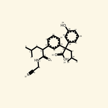 CC(C)CC(C(=O)NCC#N)c1cccc(C(CC(C)C)(C(=O)O)c2cccc(O)c2)c1